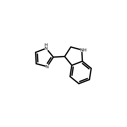 c1ccc2c(c1)NCC2c1ncc[nH]1